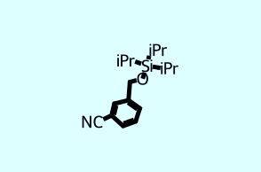 CC(C)[Si](OCc1cccc(C#N)c1)(C(C)C)C(C)C